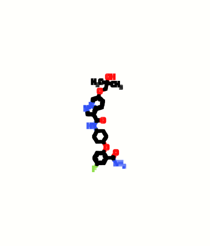 CC(C)(O)COc1ccc2c(C(=O)NC3CCC(Oc4ccc(F)cc4C(N)=O)CC3)cnn2c1